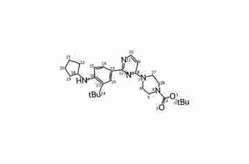 CC(C)(C)OC(=O)N1CCN(c2ccnc(-c3ccc(NC4CCCC4)c(C(C)(C)C)c3)n2)CC1